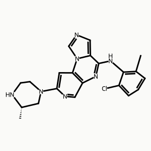 Cc1cccc(Cl)c1Nc1nc2cnc(N3CCN[C@@H](C)C3)cc2n2cncc12